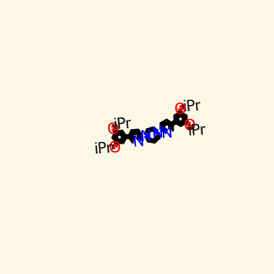 CC(C)Oc1cc(OC(C)C)cc(-c2ccc(N3CCCN(c4ccc(-c5cc(OC(C)C)cc(OC(C)C)c5)cn4)CC3)nc2)c1